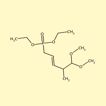 CCOP(=O)(C/C=C/C(C)C(OC)OC)OCC